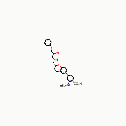 CCCCNc1cc(-c2ccc3c(c2)CC[C@H](CNCC(O)COc2ccccc2)O3)ccc1C(=O)O